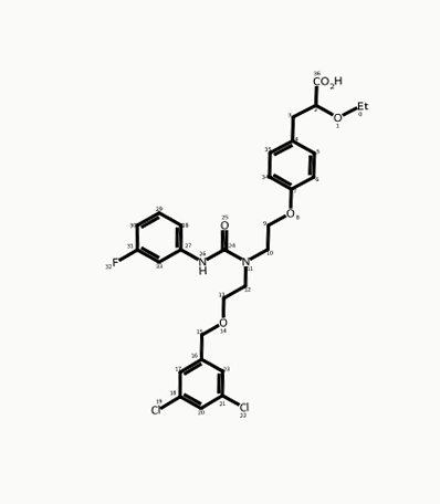 CCOC(Cc1ccc(OCCN(CCOCc2cc(Cl)cc(Cl)c2)C(=O)Nc2cccc(F)c2)cc1)C(=O)O